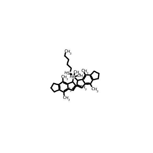 CCCCC[SiH]=[Hf]([CH3])([CH3])([CH]1C(C)=Cc2c(C)c3c(c(C)c21)CCC3)[CH]1C(C)=Cc2c(C)c3c(c(C)c21)CCC3